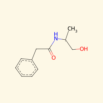 C[C](CO)NC(=O)Cc1ccccc1